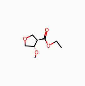 CCOC(=O)[C@@H]1COC[C@H]1OC